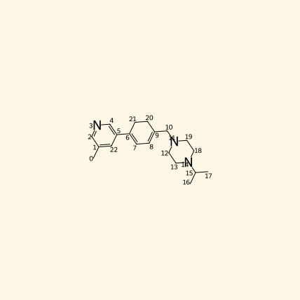 Cc1cncc(C2=CC=C(CN3CCN(C(C)C)CC3)CC2)c1